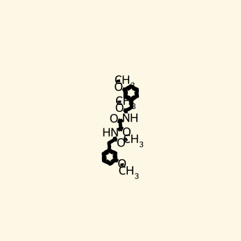 COc1cccc(CC(NC(=O)C(=O)NC(Cc2cccc(OC)c2)OC)OC)c1